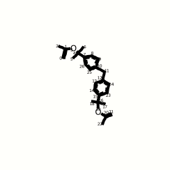 C=C(C)OC(C)(C)c1ccc(Cc2ccc(C(C)(C)OC(=C)C)cc2)cc1